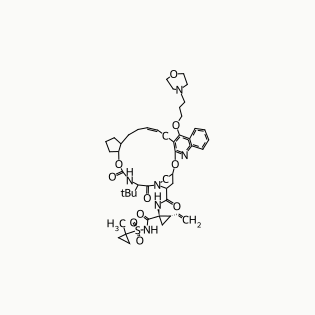 C=C[C@@H]1C[C@]1(NC(=O)C1CC2CN1C(=O)C(C(C)(C)C)NC(=O)OC1CCCC1CCC=CCc1c(nc3ccccc3c1OCCCN1CCOCC1)O2)C(=O)NS(=O)(=O)C1(C)CC1